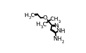 C=CCOC(C)(C)c1cc(N)[nH]n1